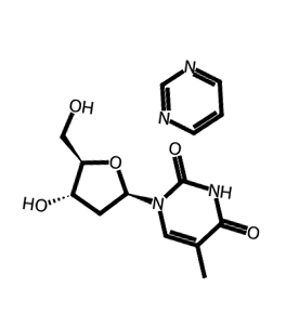 Cc1cn([C@H]2C[C@H](O)[C@@H](CO)O2)c(=O)[nH]c1=O.c1cncnc1